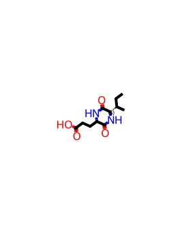 CCC(C)[C@@H]1NC(=O)C(CCC(=O)O)NC1=O